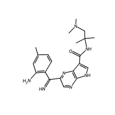 Cc1ccc(C(=N)c2cnc3[nH]cc(C(=O)NC(C)(C)CN(C)C)c3n2)c(N)c1